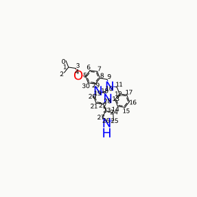 CC(C)COc1ccc(CN(Cc2ccccc2)c2nccc(C3CCNC3)n2)cc1